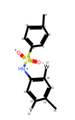 Cc1ccc(S(=O)(=O)Nc2c[c]([Y])c(C)c[c]2[W])cc1